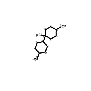 CCCCC1CCC(C2(C#N)CCC(CCCC)CC2)CC1